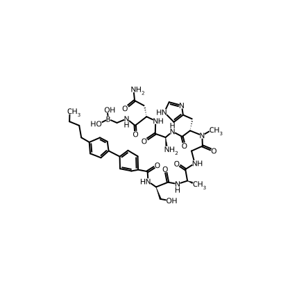 CCCCc1ccc(-c2ccc(C(=O)N[C@H](CO)C(=O)N[C@H](C)C(=O)NCC(=O)N(C)[C@@H](Cc3c[nH]cn3)C(=O)N[C@@H](N)C(=O)N[C@@H](CC(N)=O)C(=O)NCB(O)O)cc2)cc1